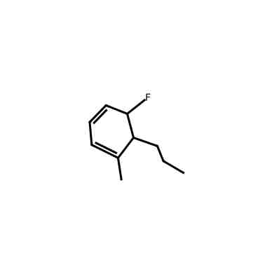 CCCC1C(C)=CC=CC1F